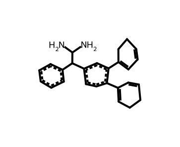 NC(N)C(c1ccccc1)c1ccc(C2=CCCC=C2)c(C2=CC=CCC2)c1